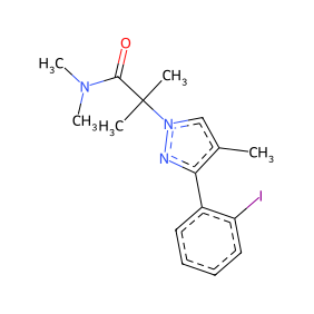 Cc1cn(C(C)(C)C(=O)N(C)C)nc1-c1ccccc1I